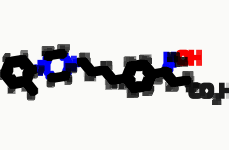 Cc1ccccc1N1CCN(CCCCc2ccc(C(CCC(=O)O)=NO)cc2)CC1